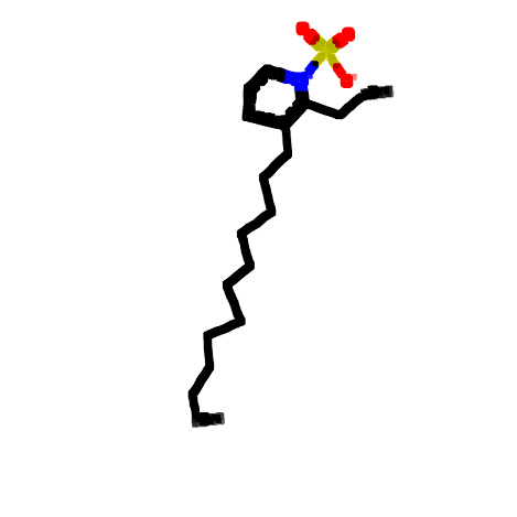 CCCCCCCCCCCCCCCCCCCCc1ccc[n+](S(=O)(=O)[O-])c1CCCCCCCCCCC